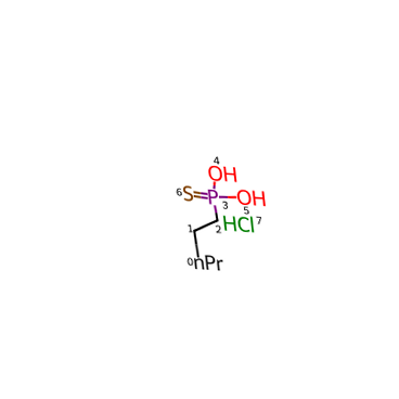 CCCCCP(O)(O)=S.Cl